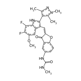 CNC(=O)Nc1ccc2c(c1)C(=O)C(=Cc1c(-c3c(C)nn(C)c3C)[nH]c3c(F)c(F)c(OC)cc13)O2